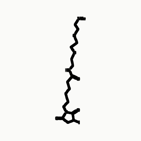 CNCCOCCOCCNC(=O)CCCCCN1C(=O)CC(I)C1=O